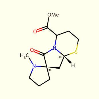 COC(=O)C1CCS[C@@H]2C[C@]3(CCCN3C)C(=O)N12